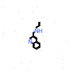 C=CCNCc1cnc2ccccc2c1